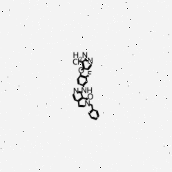 Nc1nccc(Oc2ccc(Nc3nccc4ccn(Cc5ccccc5)c(=O)c34)cc2F)c1Cl